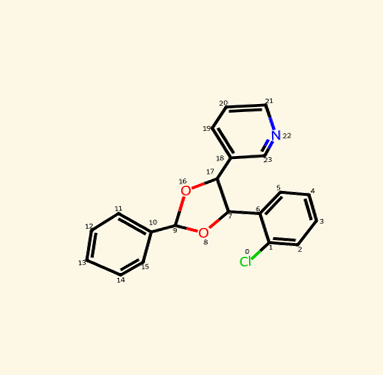 Clc1ccccc1C1OC(c2ccccc2)OC1c1cccnc1